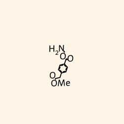 COC(=O)Cc1ccc(C(=O)OCN)cc1